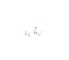 CC(C)CN(NC(=O)[C@H](CCCNC(=NC(=O)OC(C)(C)C)NC(=O)OC(C)(C)C)NC(=O)OCC1c2ccccc2-c2ccccc21)C(=O)N[C@@H](COC(C)(C)C)C(=O)O